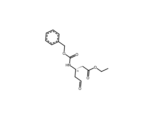 CCOC(=O)C[C@H](CC=O)NC(=O)OCc1ccccc1